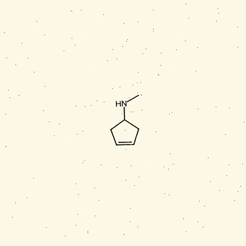 [CH2]NC1CC=CC1